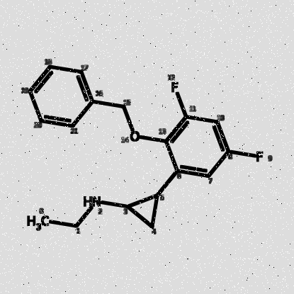 CCNC1CC1c1cc(F)cc(F)c1OCc1ccccc1